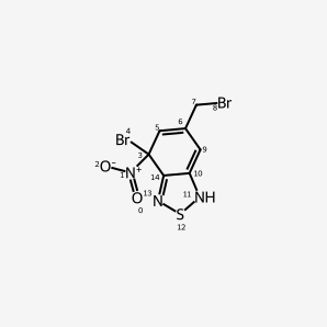 O=[N+]([O-])C1(Br)C=C(CBr)C=C2NSN=C21